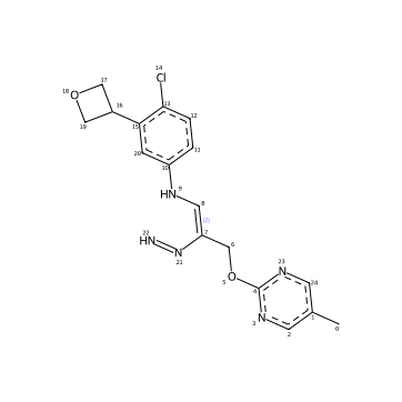 Cc1cnc(OC/C(=C/Nc2ccc(Cl)c(C3COC3)c2)N=N)nc1